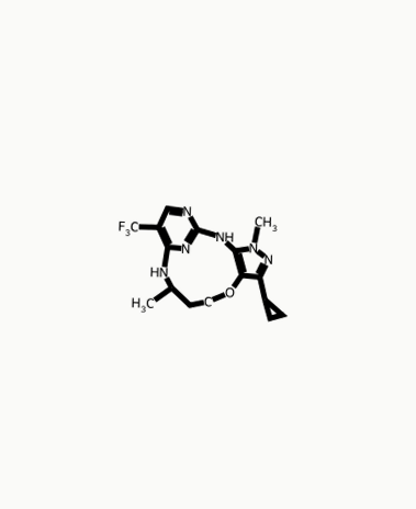 CC1CCOc2c(C3CC3)nn(C)c2Nc2ncc(C(F)(F)F)c(n2)N1